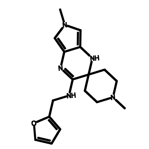 CN1CCC2(CC1)Nc1cn(C)cc1N=C2NCc1ccco1